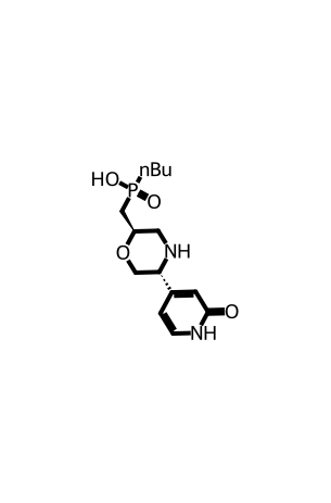 CCCCP(=O)(O)C[C@H]1CN[C@H](c2cc[nH]c(=O)c2)CO1